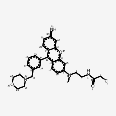 CN(CCNC(=O)CCl)c1ccc2c(-c3cccc(CN4CCOCC4)c3)c3ccc(=N)cc-3oc2c1